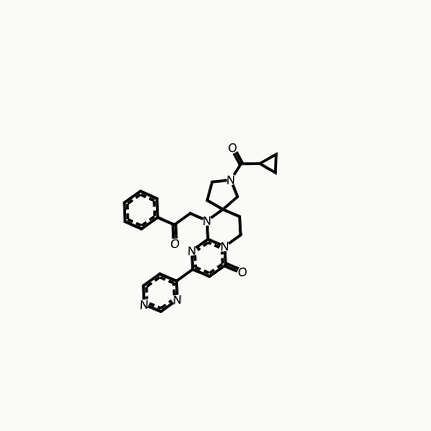 O=C(CN1c2nc(-c3ccncn3)cc(=O)n2CCC12CCN(C(=O)C1CC1)C2)c1ccccc1